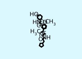 COc1ccc(-c2sc(NC(=O)CC3CCCC3)nc2C)cc1S(=O)(=O)N[C@H]1CCC[C@@H](O)C1